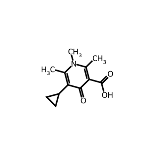 Cc1c(C(=O)O)c(=O)c(C2CC2)c(C)n1C